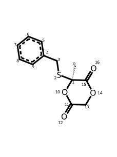 C[C@@]1(SCc2ccccc2)OC(=O)COC1=O